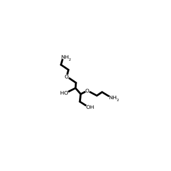 NCCOCC(O)C(CO)OCCN